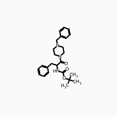 CC(C)(C)OC(=O)NC(Cc1ccccc1)C(=O)N1CCN(Cc2ccccc2)CC1